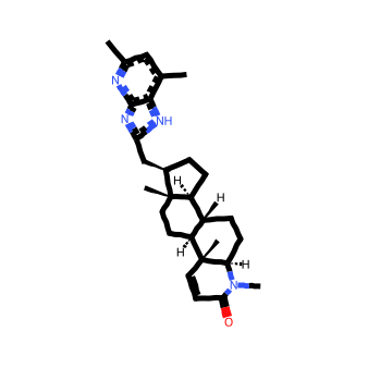 Cc1cc(C)c2[nH]c(C[C@H]3CC[C@H]4[C@@H]5CC[C@H]6N(C)C(=O)C=C[C@]6(C)[C@H]5CC[C@]34C)nc2n1